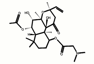 C=C[C@@]1(C)CC(=O)[C@]2(O)[C@@]3(C)C(OC(=O)CN(C)C)CCC(C)(C)[C@@H]3[C@H](OC(C)=O)[C@H](O)[C@@]2(C)O1